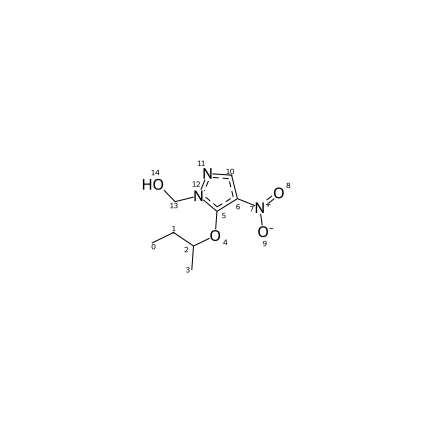 CCC(C)Oc1c([N+](=O)[O-])cnn1CO